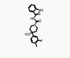 Cc1ccc(C2(O)CCN(C(=O)Nc3n[nH]c4ccccc34)CC2)cc1F